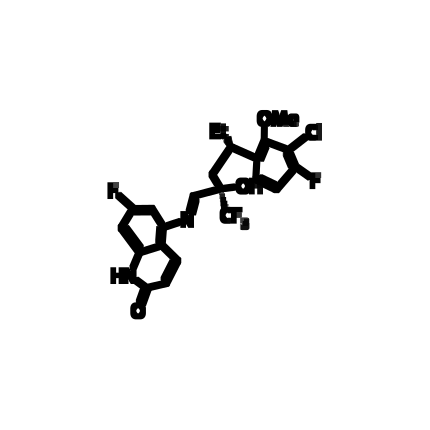 CC[C@H](C[C@@](O)(/C=N/c1cc(F)cc2[nH]c(=O)ccc12)C(F)(F)F)c1ccc(F)c(Cl)c1OC